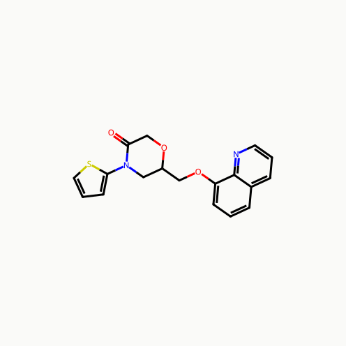 O=C1COC(COc2cccc3cccnc23)CN1c1cccs1